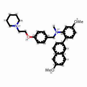 COc1ccc(-c2ccc3cc(OC)ccc3c2)c(N(C)Cc2ccc(OCCN3CCCCC3)cc2)c1